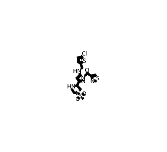 CS(=O)(=O)N1CCNC(c2cc(NCc3ccc(Cl)s3)n(C(=O)c3cscn3)n2)C1